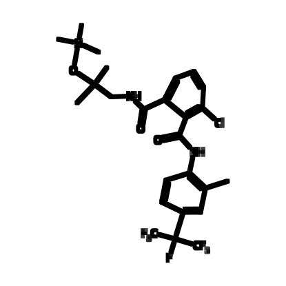 Cc1cc(C(F)(C(F)(F)F)C(F)(F)F)ccc1NC(=O)c1c(Cl)cccc1C(=O)NCC(C)(C)O[Si](C)(C)C